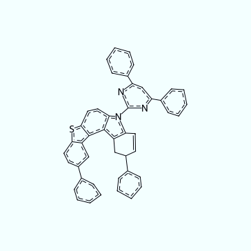 C1=CC(c2ccccc2)Cc2c1n(-c1nc(-c3ccccc3)cc(-c3ccccc3)n1)c1ccc3sc4ccc(-c5ccccc5)cc4c3c21